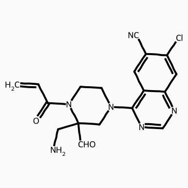 C=CC(=O)N1CCN(c2ncnc3cc(Cl)c(C#N)cc23)CC1(C=O)CN